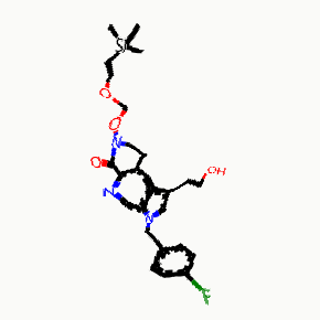 C[Si](C)(C)CCOCON1CCc2c(ncc3c2c(CCO)cn3Cc2ccc(F)cc2)C1=O